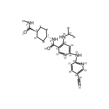 CNC(=O)[C@H]1CC[C@H](NC(=O)c2cnc(Nc3ccc(C#N)cn3)cc2NC(C)C)CC1